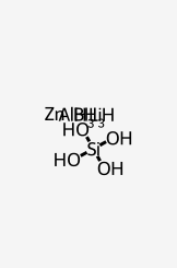 B.O[Si](O)(O)O.[AlH3].[LiH].[Zn]